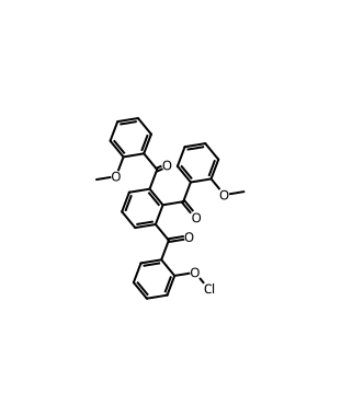 COc1ccccc1C(=O)c1cccc(C(=O)c2ccccc2OCl)c1C(=O)c1ccccc1OC